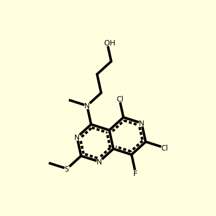 CSc1nc(N(C)CCCO)c2c(Cl)nc(Cl)c(F)c2n1